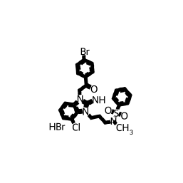 Br.CN(CCCn1c(=N)n(CC(=O)c2ccc(Br)cc2)c2cccc(Cl)c21)S(=O)(=O)c1ccccc1